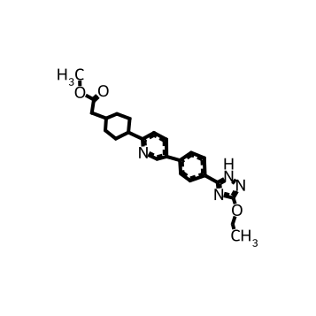 CCOc1n[nH]c(-c2ccc(-c3ccc(C4CCC(CC(=O)OC)CC4)nc3)cc2)n1